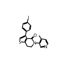 Cc1ccncc1N1CCc2scc(-c3ccc(I)cc3)c2C1=O